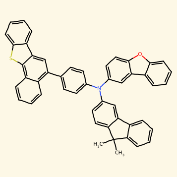 CC1(C)c2ccccc2-c2cc(N(c3ccc(-c4cc5c6ccccc6sc5c5ccccc45)cc3)c3ccc4oc5ccccc5c4c3)ccc21